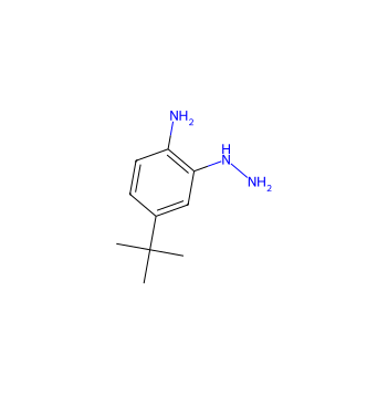 CC(C)(C)c1ccc(N)c(NN)c1